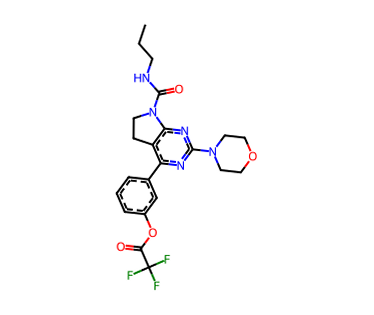 CCCNC(=O)N1CCc2c(-c3cccc(OC(=O)C(F)(F)F)c3)nc(N3CCOCC3)nc21